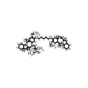 COC1=C(OCCCCCOC2=C(OC)CC3C(=O)N4[C@@H]5CCCCC5C[C@@H]4C=N[C@@H]3C2)CC2[C@@H](C1)C(=O)N1C3CCCC[C@H]3C[C@H]1CN2CC(C)(C)S(C)=S